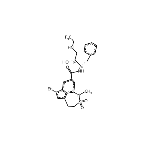 CCn1cc2c3c(cc(C(=O)N[C@@H](Cc4ccccc4)[C@H](O)CNCC(F)(F)F)cc31)N(C)S(=O)(=O)CC2